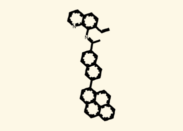 C=Cc1ccc2cccnc2c1/N=C(\C)c1ccc2cc(-c3ccc4ccc5cccc6ccc3c4c56)ccc2c1